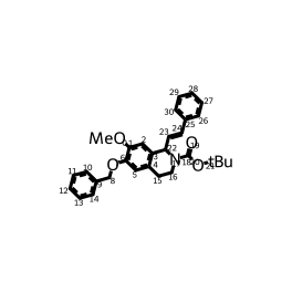 COc1cc2c(cc1OCc1ccccc1)CCN(C(=O)OC(C)(C)C)C2/C=C/c1ccccc1